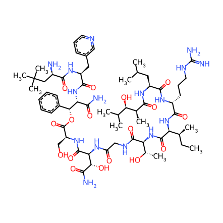 CC[C@H](C)[C@H](NC(=O)[C@@H](CCCNC(=N)N)NC(=O)[C@H](CC(C)C)NC(=O)[C@@H](C)[C@H](O)C(C)C)C(=O)N[C@H](C(=O)NCC(=O)N[C@H](C(=O)N[C@@H](CO)C(=O)O[C@H](c1ccccc1)[C@H](NC(=O)[C@H](Cc1cccnc1)NC(=O)[C@H](N)CC(C)(C)C)C(N)=O)[C@H](O)C(N)=O)[C@H](C)O